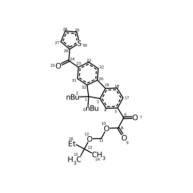 CCCCC1(CCCC)c2cc(C(=O)C(=O)OCOC(C)(C)CC)ccc2-c2ccc(C(=O)c3cccs3)cc21